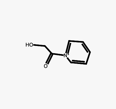 O=C(CO)[n+]1ccccc1